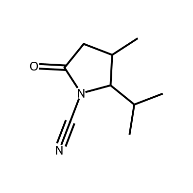 CC(C)C1C(C)CC(=O)N1C#N